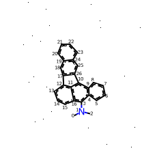 CN(C)c1c2ccccc2c2c3c(cccc13)-c1cc3ccccc3cc1-2